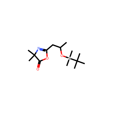 CC(CC1=NC(C)(C)C(=O)O1)O[Si](C)(C)C(C)(C)C